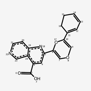 O=C(O)c1cc(C2=COC=C(C3=CC=CCC3)O2)nc2ccncc12